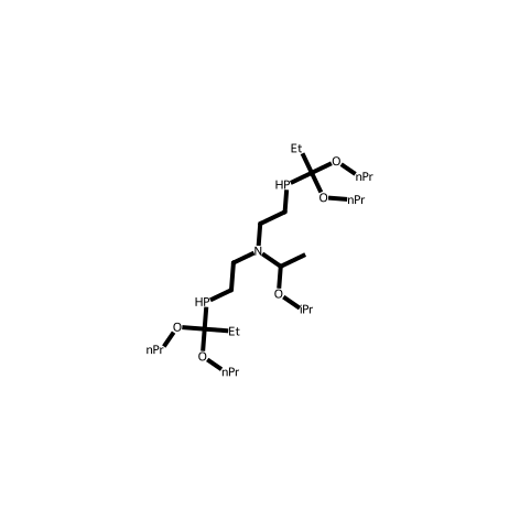 CCCOC(CC)(OCCC)PCCN(CCPC(CC)(OCCC)OCCC)C(C)OC(C)C